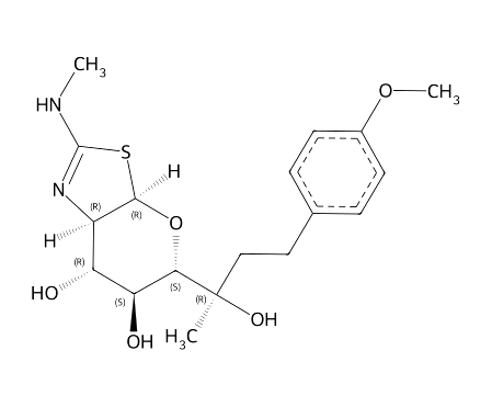 CNC1=N[C@@H]2[C@@H](O)[C@H](O)[C@@H]([C@](C)(O)CCc3ccc(OC)cc3)O[C@@H]2S1